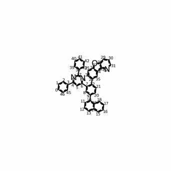 c1ccc(-c2cc(-c3cc(-c4cccc5ccccc45)ccc3-c3ccc4oc5cccnc5c4c3)nc(-c3ccccc3)n2)cc1